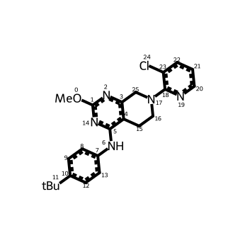 COc1nc2c(c(Nc3ccc(C(C)(C)C)cc3)n1)CCN(c1ncccc1Cl)C2